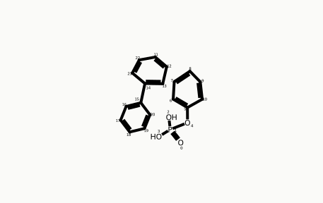 O=P(O)(O)Oc1ccccc1.c1ccc(-c2ccccc2)cc1